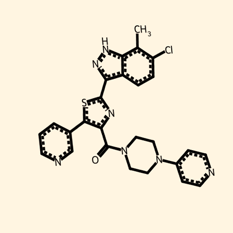 Cc1c(Cl)ccc2c(-c3nc(C(=O)N4CCN(c5ccncc5)CC4)c(-c4cccnc4)s3)n[nH]c12